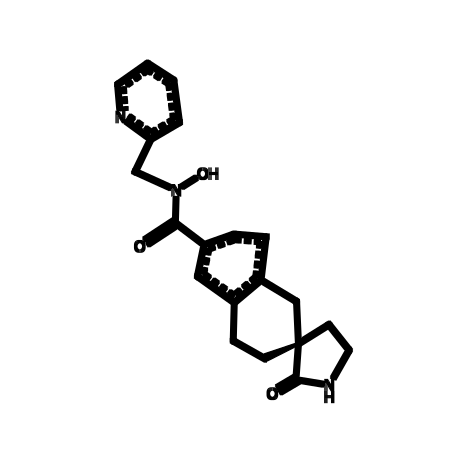 O=C(c1ccc2c(c1)CC[C@]1(CCNC1=O)C2)N(O)Cc1ccccn1